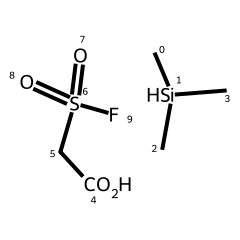 C[SiH](C)C.O=C(O)CS(=O)(=O)F